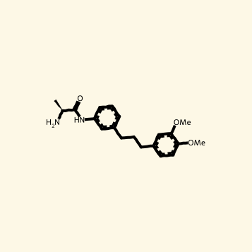 COc1ccc(CCCc2cccc(NC(=O)[C@H](C)N)c2)cc1OC